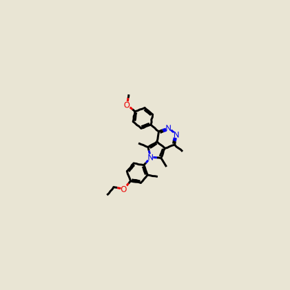 CCOc1ccc(-n2c(C)c3c(C)nnc(-c4ccc(OC)cc4)c3c2C)c(C)c1